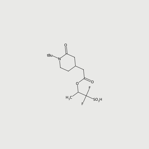 CC(OC(=O)CC1CCN(C(C)(C)C)C(=O)C1)C(F)(F)S(=O)(=O)O